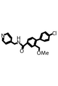 COCc1cc(C(=O)NCc2ccncc2)ccc1-c1ccc(Cl)cc1